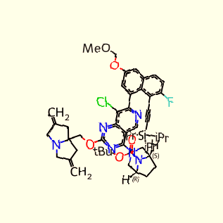 C=C1CN2CC(=C)CC2(COc2nc(N3C[C@H]4CC[C@@H](C3)N4C(=O)OC(C)(C)C)c3cnc(-c4cc(OCOC)cc5ccc(F)c(C#C[Si](C(C)C)(C(C)C)C(C)C)c45)c(Cl)c3n2)C1